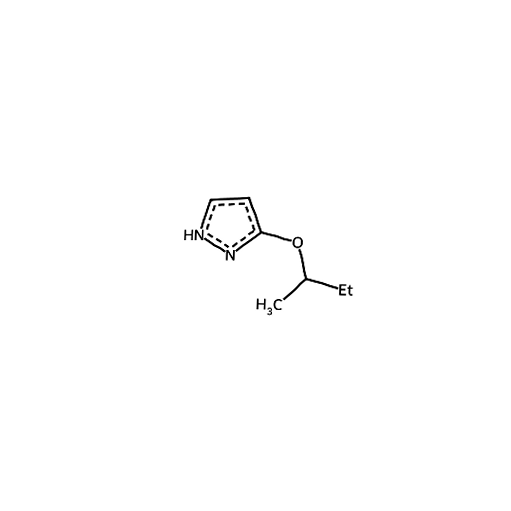 CCC(C)Oc1cc[nH]n1